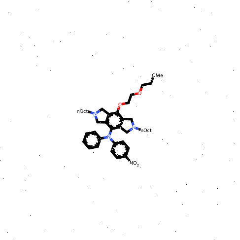 CCCCCCCCN1Cc2c(c(N(c3ccccc3)c3ccc([N+](=O)[O-])cc3)c3c(c2OCCOCCOC)CN(CCCCCCCC)C3)C1